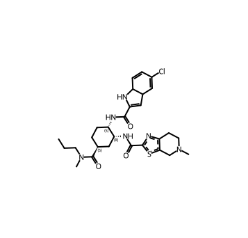 CCCN(C)C(=O)[C@H]1CC[C@H](NC(=O)C2=CC3C=C(Cl)C=CC3N2)[C@H](NC(=O)c2nc3c(s2)CN(C)CC3)C1